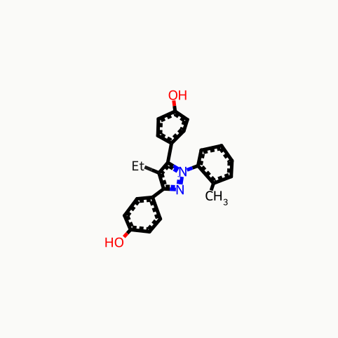 CCc1c(-c2ccc(O)cc2)nn(-c2ccccc2C)c1-c1ccc(O)cc1